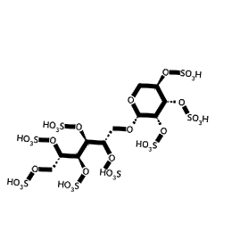 O=S(=O)(O)OC[C@H](OS(=O)(=O)O)[C@H](OS(=O)(=O)O)[C@@H](OS(=O)(=O)O)[C@H](CO[C@@H]1OC[C@@H](OS(=O)(=O)O)[C@H](OS(=O)(=O)O)[C@@H]1OS(=O)(=O)O)OS(=O)(=O)O